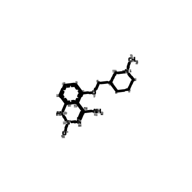 CN1CCCC(COc2cccc3c2C(N)=N[S+]([O-])N3)C1